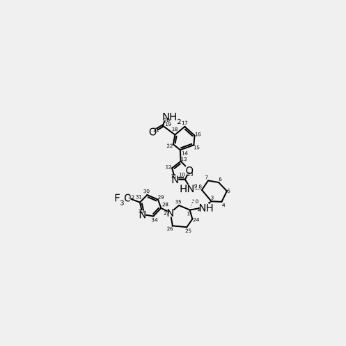 C[C@]1(N[C@@H]2CCCC[C@H]2Nc2ncc(-c3cccc(C(N)=O)c3)o2)CCCN(c2ccc(C(F)(F)F)nc2)C1